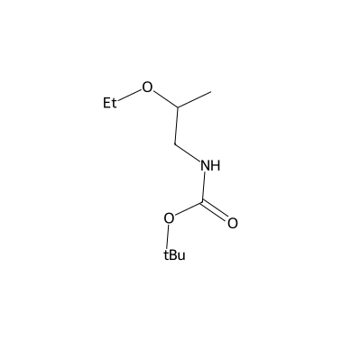 CCOC(C)CNC(=O)OC(C)(C)C